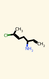 C=CC(N)C/C=C(\C)Cl